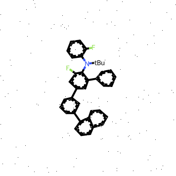 CC(C)(C)N(c1ccccc1F)c1c(F)cc(-c2cccc(-c3cccc4ccccc34)c2)cc1-c1ccccc1